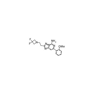 COc1ccccc1-c1cc2nc(CCN3CC(F)(F)C3)nn2c(N)n1